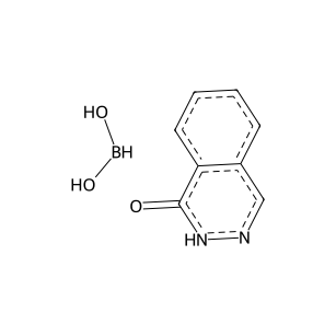 O=c1[nH]ncc2ccccc12.OBO